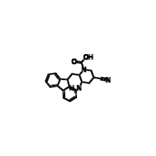 N#CC1CC(N)C(CC2c3ccccc3-c3ccccc32)N(C(=O)O)C1